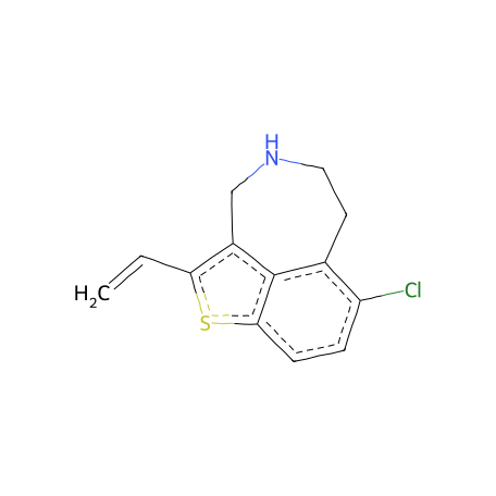 C=Cc1sc2ccc(Cl)c3c2c1CNCC3